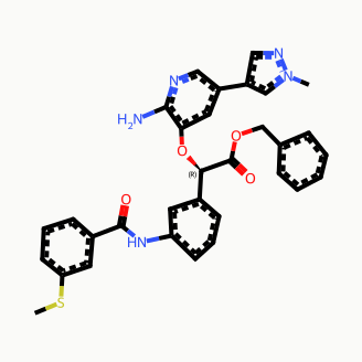 CSc1cccc(C(=O)Nc2cccc([C@@H](Oc3cc(-c4cnn(C)c4)cnc3N)C(=O)OCc3ccccc3)c2)c1